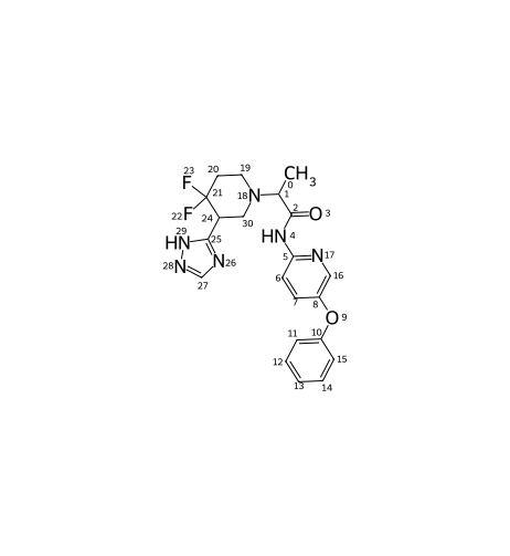 CC(C(=O)Nc1ccc(Oc2ccccc2)cn1)N1CCC(F)(F)C(c2ncn[nH]2)C1